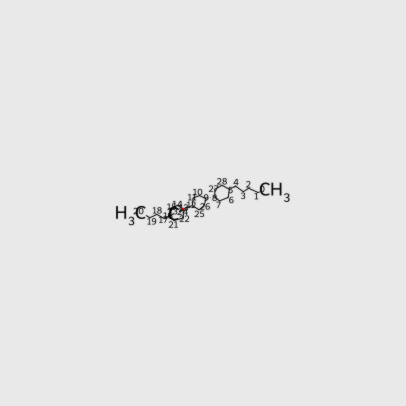 CCCCC[C@H]1CC[C@H](C2CCC(C34CCC(CCCC)(CC3)CC4)CC2)CC1